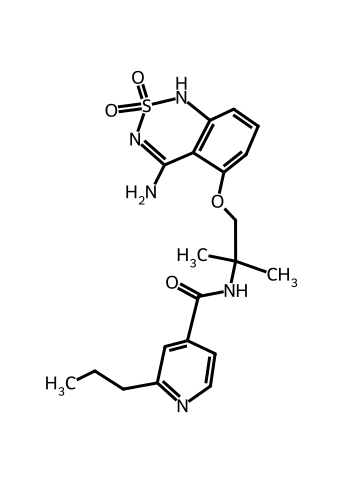 CCCc1cc(C(=O)NC(C)(C)COc2cccc3c2C(N)=NS(=O)(=O)N3)ccn1